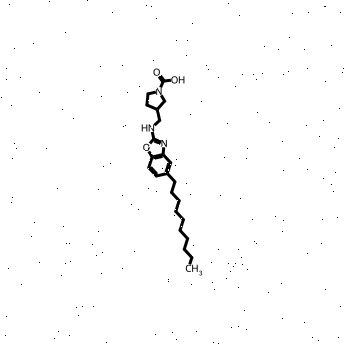 CCCCCCCCCCc1ccc2oc(NCC3CCN(C(=O)O)C3)nc2c1